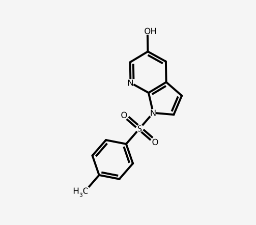 Cc1ccc(S(=O)(=O)n2ccc3cc(O)cnc32)cc1